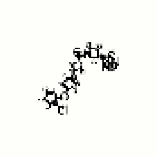 O=C(N1CC(c2ccc(Oc3ccccc3Cl)nc2)C1)N1CC[C@@H](n2cnnn2)C1